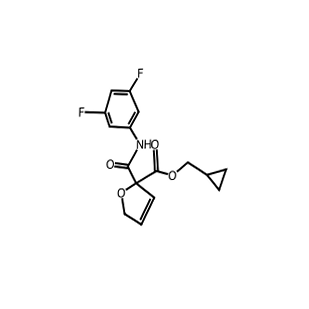 O=C(Nc1cc(F)cc(F)c1)C1(C(=O)OCC2CC2)C=CCO1